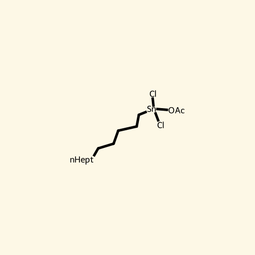 CCCCCCCCCCC[CH2][Sn]([Cl])([Cl])[O]C(C)=O